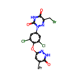 CC(C)c1cc(Oc2c(Cl)cc(-n3nc(CBr)c(=O)[nH]c3=O)cc2Cl)n[nH]c1=O